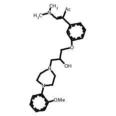 COc1ccccc1N1CCN(CC(O)COc2cccc(C(=CN(C)C)C(C)=O)c2)CC1